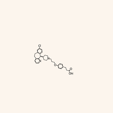 O=C(O)CCc1ccc(OCCCN2CCC(=C3c4ccc(Cl)cc4CCc4cccnc43)CC2)cc1